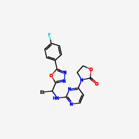 CCC(Nc1nccc(N2CCOC2=O)n1)c1nnc(-c2ccc(F)cc2)o1